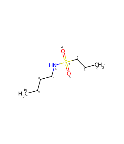 [CH2]CCS(=O)(=O)NCCCC